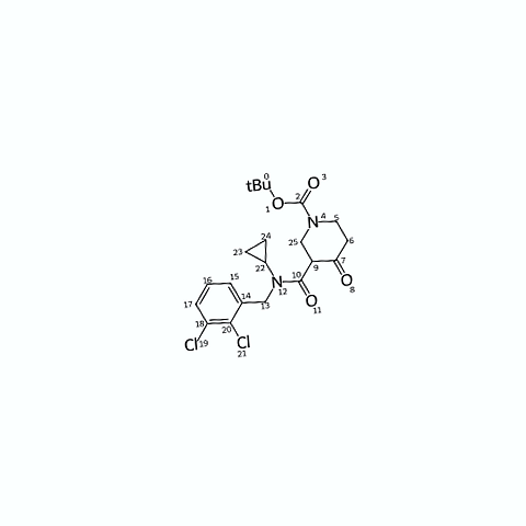 CC(C)(C)OC(=O)N1CCC(=O)C(C(=O)N(Cc2cccc(Cl)c2Cl)C2CC2)C1